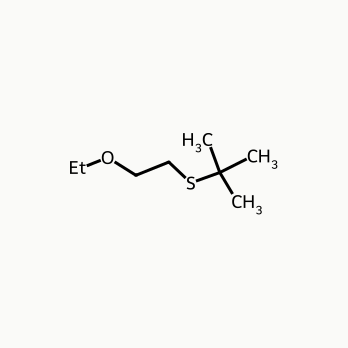 CCOCCSC(C)(C)C